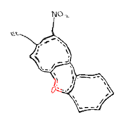 CCc1cc2oc3ccccc3c2cc1[N+](=O)[O-]